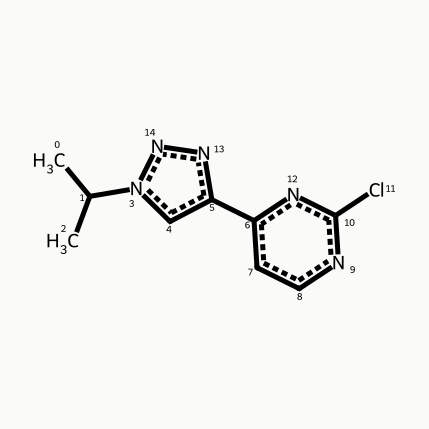 CC(C)n1cc(-c2ccnc(Cl)n2)nn1